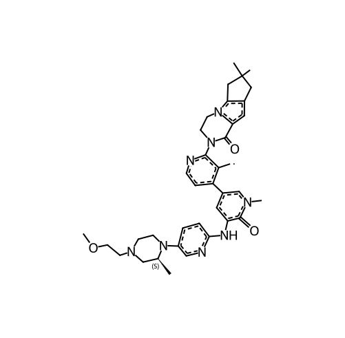 [CH2]c1c(-c2cc(Nc3ccc(N4CCN(CCOC)C[C@@H]4C)cn3)c(=O)n(C)c2)ccnc1N1CCn2c(cc3c2CC(C)(C)C3)C1=O